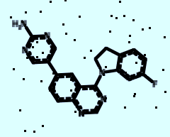 Nc1ncc(-c2ccc3ncnc(N4CCc5ccc(F)cc54)c3c2)cn1